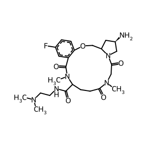 CN(C)CCNC(=O)C1CCC(=O)N(C)CC(=O)N2C[C@H](N)CC2COc2ccc(F)cc2C(=O)N1C